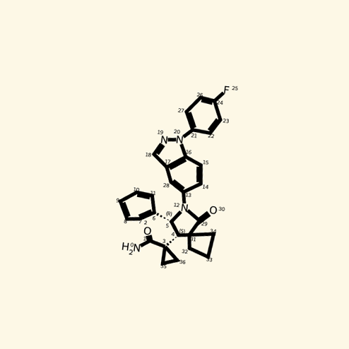 NC(=O)C1([C@@H]2[C@H](c3ccccc3)N(c3ccc4c(cnn4-c4ccc(F)cc4)c3)C(=O)C23CCC3)CC1